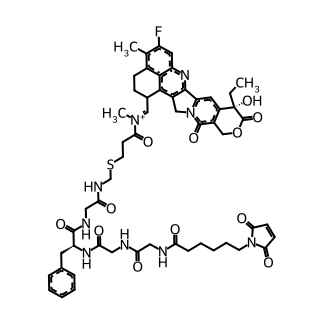 CC[C@@]1(O)C(=O)OCc2c1cc1n(c2=O)Cc2c-1nc1cc(F)c(C)c3c1c2C(/C=[N+](\C)C(=O)CCSCNC(=O)CNC(=O)[C@H](Cc1ccccc1)NC(=O)CNC(=O)CNC(=O)CCCCCN1C(=O)C=CC1=O)CC3